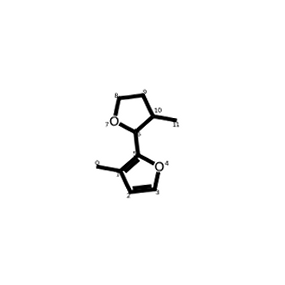 Cc1ccoc1[C]1OCCC1C